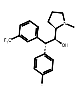 CN1CCC[C@@H]1[C@@H](O)[C@H](c1ccc(F)cc1)c1cccc(C(F)(F)F)c1